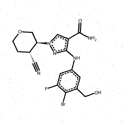 N#C[C@@H]1CCOC[C@H]1n1cc(C(N)=O)c(Nc2cc(F)c(Br)c(CO)c2)n1